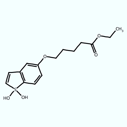 CCOC(=O)CCCCOc1ccc2c(c1)C=CS2(O)O